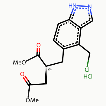 COC(=O)C[C@H](Cc1ccc2[nH]ncc2c1CCl)C(=O)OC.Cl